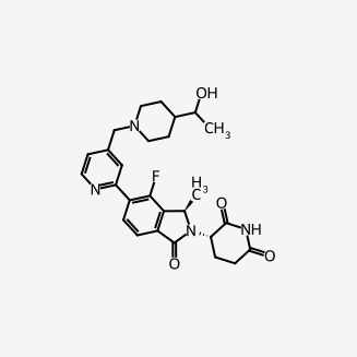 CC(O)C1CCN(Cc2ccnc(-c3ccc4c(c3F)[C@@H](C)N([C@H]3CCC(=O)NC3=O)C4=O)c2)CC1